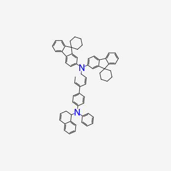 C/C=C(\C=C/CN(c1ccc2c(c1)C1(CCCCC1)c1ccccc1-2)c1ccc2c(c1)C1(CCCCC1)c1ccccc1-2)c1ccc(N(c2ccccc2)C2CC=Cc3ccccc32)cc1